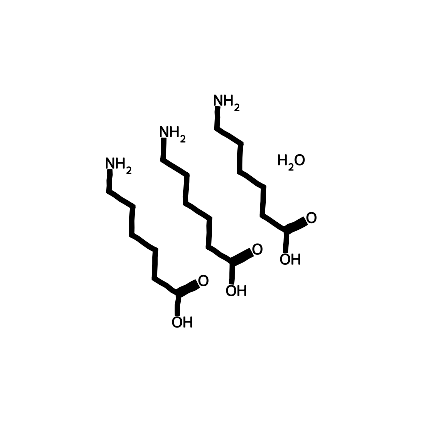 NCCCCCC(=O)O.NCCCCCC(=O)O.NCCCCCC(=O)O.O